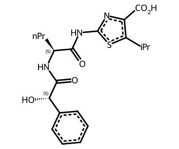 CCC[C@H](NC(=O)[C@@H](O)c1ccccc1)C(=O)Nc1nc(C(=O)O)c(C(C)C)s1